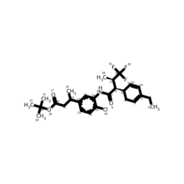 CCC1=CCC([C@@H](C(=O)Nc2cc(C(C)CC(=O)OC(C)(C)C)ccc2Cl)[C@@H](C)C(F)(F)F)C=C1